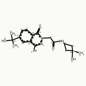 CC(C)c1nn(CC(=O)N[C@H]2C[C@@](C)(O)C2)c(=O)c2ccc(C(C)(C)O)cc12